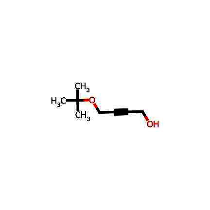 CC(C)(C)OCC#CCO